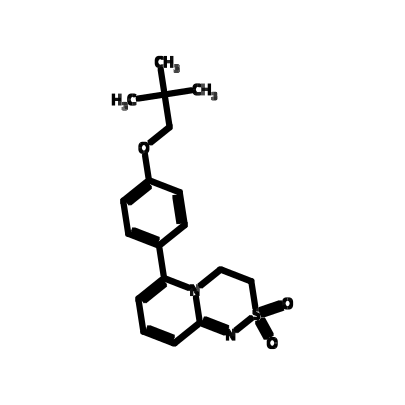 CC(C)(C)COc1ccc(C2=CC=CC3=NS(=O)(=O)CCN23)cc1